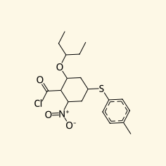 CCC(CC)OC1CC(Sc2ccc(C)cc2)CC([N+](=O)[O-])C1C(=O)Cl